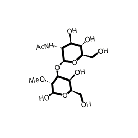 CO[C@@H]1[C@@H](O[C@@H]2O[C@H](CO)[C@@H](O)[C@H](O)[C@H]2NC(C)=O)[C@@H](O)[C@@H](CO)O[C@H]1O